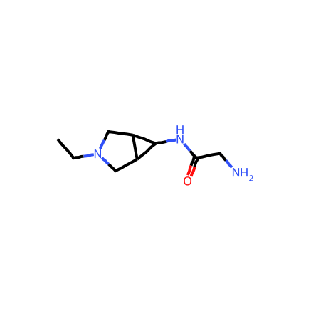 CCN1CC2C(C1)C2NC(=O)CN